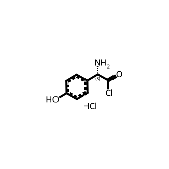 Cl.N[C@H](C(=O)Cl)c1ccc(O)cc1